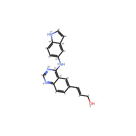 OCC=Cc1ccc2ncnc(Nc3ccc4[nH]ccc4c3)c2c1